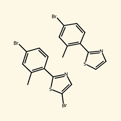 Cc1cc(Br)ccc1-c1ncc(Br)s1.Cc1cc(Br)ccc1-c1nccs1